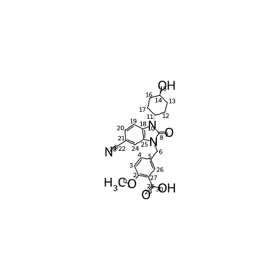 COc1ccc(Cn2c(=O)n([C@H]3CC[C@H](O)CC3)c3ccc(C#N)cc32)cc1C(=O)O